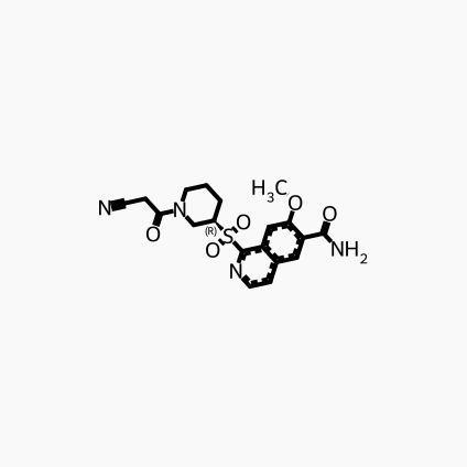 COc1cc2c(S(=O)(=O)[C@@H]3CCCN(C(=O)CC#N)C3)nccc2cc1C(N)=O